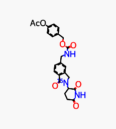 CC(=O)Oc1ccc(COC(=O)NCc2ccc3c(c2)C[15N](C2CCC(=O)NC2=O)C3=O)cc1